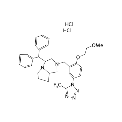 COCCOc1ccc(-n2nnnc2C(F)(F)F)cc1CN1CC2CCCN2C(C(c2ccccc2)c2ccccc2)C1.Cl.Cl